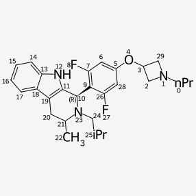 CCCN1CC(Oc2cc(F)c([C@@H]3c4[nH]c5ccccc5c4CC(C)N3CC(C)C)c(F)c2)C1